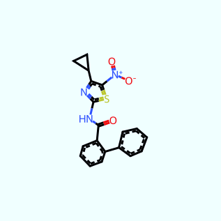 O=C(Nc1nc(C2CC2)c([N+](=O)[O-])s1)c1ccccc1-c1ccccc1